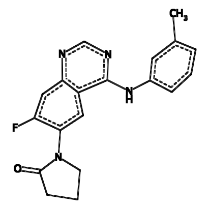 Cc1cccc(Nc2ncnc3cc(F)c(N4CCCC4=O)cc23)c1